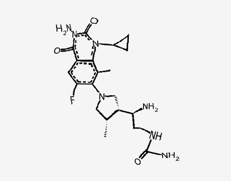 Cc1c(N2C[C@H]([C@@H](N)CNC(N)=O)[C@H](C)C2)c(F)cc2c(=O)n(N)c(=O)n(C3CC3)c12